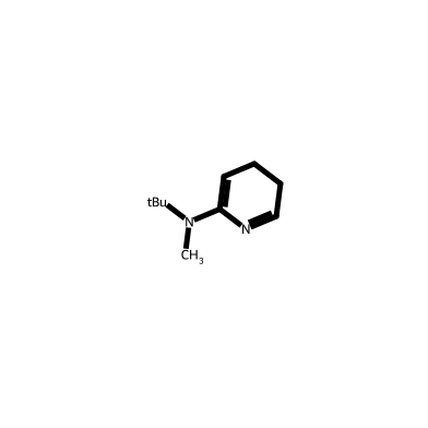 CN(C1=CCCC=N1)C(C)(C)C